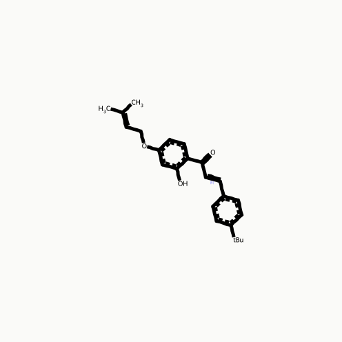 CC(C)=CCOc1ccc(C(=O)/C=C/c2ccc(C(C)(C)C)cc2)c(O)c1